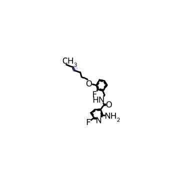 CC/C=C/CCCOc1cccc(CNC(=O)c2ccc(F)nc2N)c1F